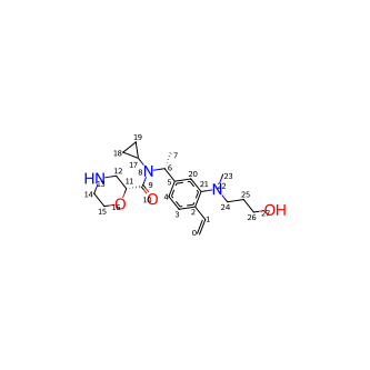 C=Cc1ccc([C@@H](C)N(C(=O)[C@H]2CNCCO2)C2CC2)cc1N(C)CCCO